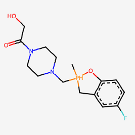 C[PH]1(CN2CCN(C(=O)CO)CC2)Cc2cc(F)ccc2O1